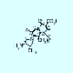 Cc1c(N2C[C@H](C)[C@@H](N)C2)c(F)cn2c(=O)c(C(=O)O)cc(C3CC3)c12